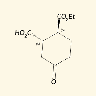 CCOC(=O)[C@H]1CCC(=O)C[C@@H]1C(=O)O